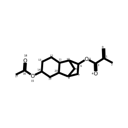 C=C(C)C(=O)OC1CC2CC1C1CCC(OC(C)=O)CC21